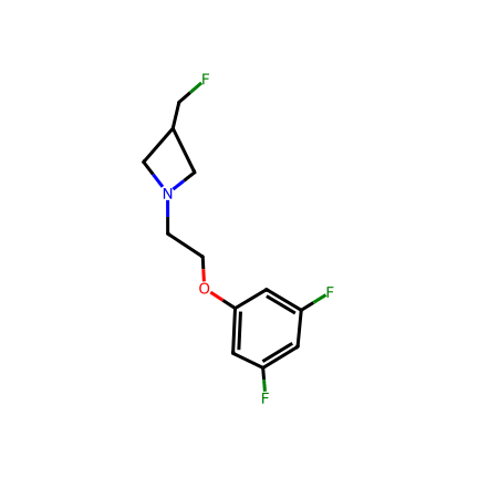 FCC1CN(CCOc2cc(F)cc(F)c2)C1